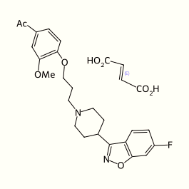 COc1cc(C(C)=O)ccc1OCCCN1CCC(c2noc3cc(F)ccc23)CC1.O=C(O)/C=C/C(=O)O